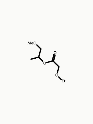 CCOCC(=O)OC(C)COC